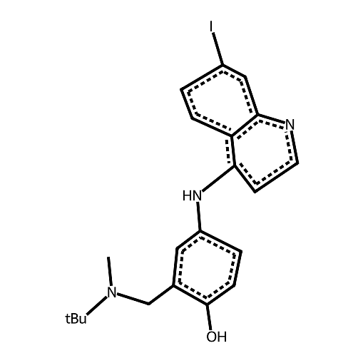 CN(Cc1cc(Nc2ccnc3cc(I)ccc23)ccc1O)C(C)(C)C